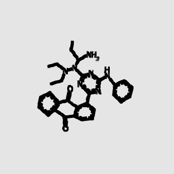 CCC(N)N(c1nc(Nc2ccccc2)nc(-c2cccc3c2C(=O)c2ccccc2C3=O)n1)N(CC)CC